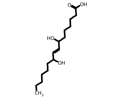 CCCCCCC(O)/C=C/C(O)CCCCCC(=O)O